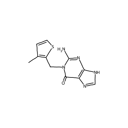 Cc1ccsc1Cn1c(N)nc2[nH]cnc2c1=O